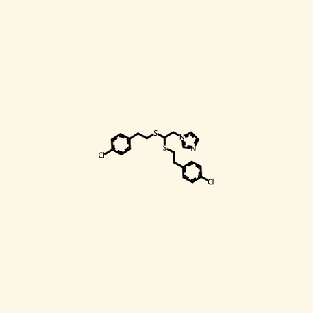 Clc1ccc(CCSC(Cn2ccnc2)SCCc2ccc(Cl)cc2)cc1